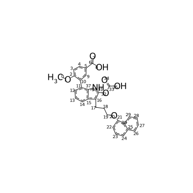 COc1ccc(C(=O)O)cc1-c1cccc2c(CCCOc3cccc4ccccc34)c(OC(=O)O)[nH]c12